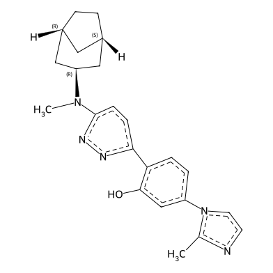 Cc1nccn1-c1ccc(-c2ccc(N(C)[C@H]3C[C@@H]4CC[C@@H](C4)C3)nn2)c(O)c1